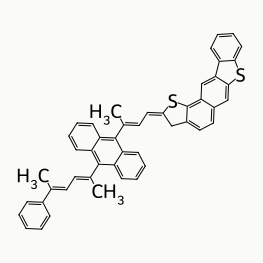 C/C(=C\C=C(/C)c1c2ccccc2c(/C(C)=C/C=C2\Cc3ccc4cc5sc6ccccc6c5cc4c3S2)c2ccccc12)c1ccccc1